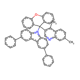 Cc1ccc2c(C)c(C3(n4c5ccc(-c6ccccc6)cc5c5cc(-c6ccccc6)ccc54)c4ccccc4Oc4ccccc43)cnc2c1